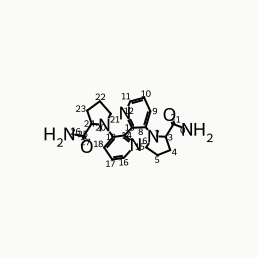 NC(=O)C1CCCN1c1cccnc1-c1ncccc1N1CCCC1C(N)=O